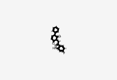 O=C1C=CC(c2ccccc2)C(=O)C1Cc1n[nH]c2cc(F)ccc12